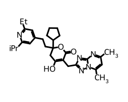 CCc1cc(CCC2(C3CCCC3)CC(O)=C(Cc3nc4nc(C)cc(C)n4n3)C(=O)O2)cc(C(C)C)n1